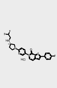 Cl.O=c1c2sc(-c3ccc(F)cc3)cc2ccn1-c1ccc(N2CC[C@H](NCC(F)F)C2)nc1